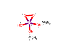 OP1(O)(O)OO1.[MgH2].[MgH2]